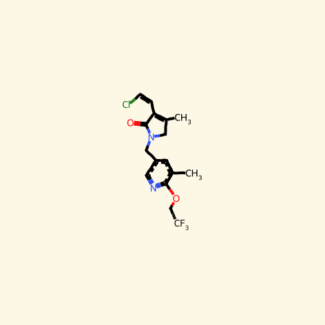 CC1=C(/C=C\Cl)C(=O)N(Cc2cnc(OCC(F)(F)F)c(C)c2)C1